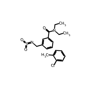 CCN(CC)C(=O)c1cccc(CN=S(=O)=O)c1.Cc1ccccc1Cl